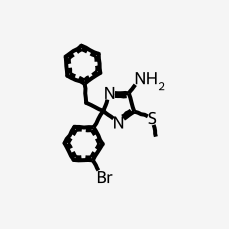 CSC1=NC(Cc2ccccc2)(c2cccc(Br)c2)N=C1N